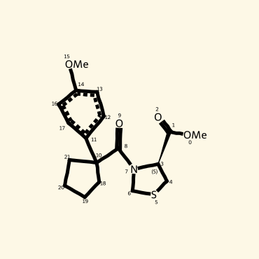 COC(=O)[C@H]1CSCN1C(=O)C1(c2ccc(OC)cc2)CCCC1